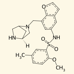 COc1ccc(C)cc1S(=O)(=O)Nc1cc(CN2C[C@@H]3CC2CN3)c2occc2c1